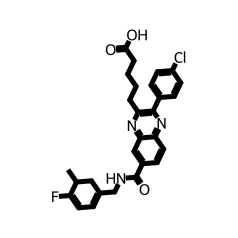 CC1CC(CNC(=O)c2ccc3nc(-c4ccc(Cl)cc4)c(CCCCC(=O)O)nc3c2)=CC=C1F